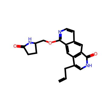 C=CCc1c[nH]c(=O)c2cc3ccnc(OCC4CCC(=O)N4)c3cc12